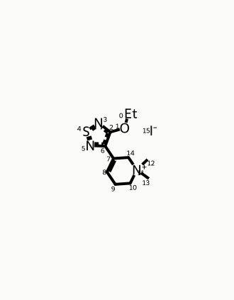 CCOc1nsnc1C1=CCC[N+](C)(C)C1.[I-]